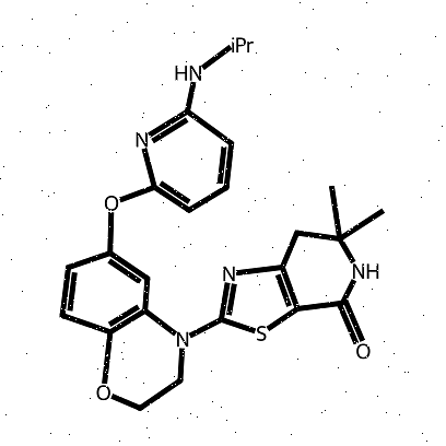 CC(C)Nc1cccc(Oc2ccc3c(c2)N(c2nc4c(s2)C(=O)NC(C)(C)C4)CCO3)n1